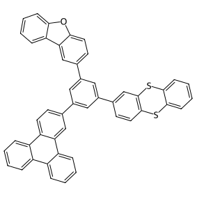 c1ccc2c(c1)Sc1ccc(-c3cc(-c4ccc5oc6ccccc6c5c4)cc(-c4ccc5c6ccccc6c6ccccc6c5c4)c3)cc1S2